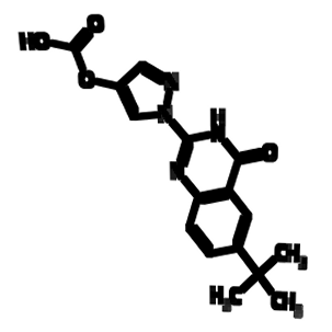 CC(C)(C)c1ccc2nc(-n3cc(OC(=O)O)cn3)[nH]c(=O)c2c1